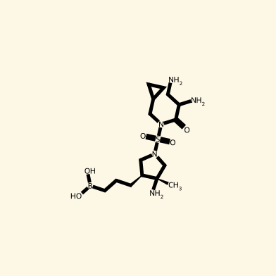 C[C@]1(N)CN(S(=O)(=O)N(CC2CC2)C(=O)C(N)CN)C[C@@H]1CCCB(O)O